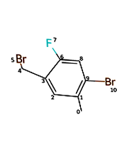 Cc1cc(CBr)c(F)cc1Br